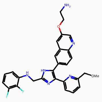 COCc1cccc(-c2nc(CNc3cccc(F)c3F)[nH]c2-c2ccc3ncc(OCCN)cc3c2)n1